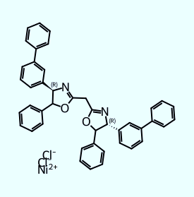 [Cl-].[Cl-].[Ni+2].c1ccc(-c2cccc([C@H]3N=C(CC4=N[C@H](c5cccc(-c6ccccc6)c5)C(c5ccccc5)O4)OC3c3ccccc3)c2)cc1